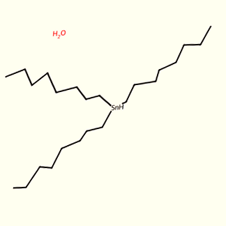 CCCCCCC[CH2][SnH]([CH2]CCCCCCC)[CH2]CCCCCCC.O